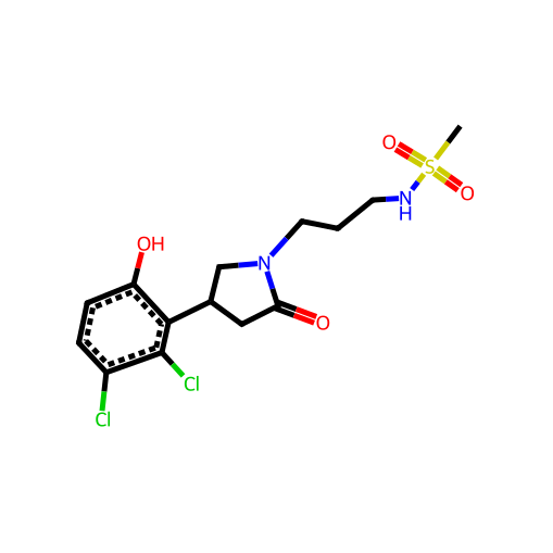 CS(=O)(=O)NCCCN1CC(c2c(O)ccc(Cl)c2Cl)CC1=O